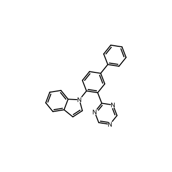 c1ccc(-c2ccc(-n3ccc4ccccc43)c(-c3ncncn3)c2)cc1